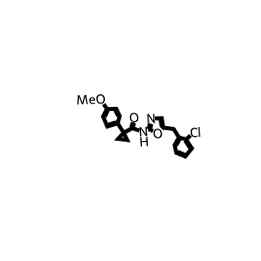 COc1ccc(C2(C(=O)Nc3ncc(Cc4ccccc4Cl)o3)CC2)cc1